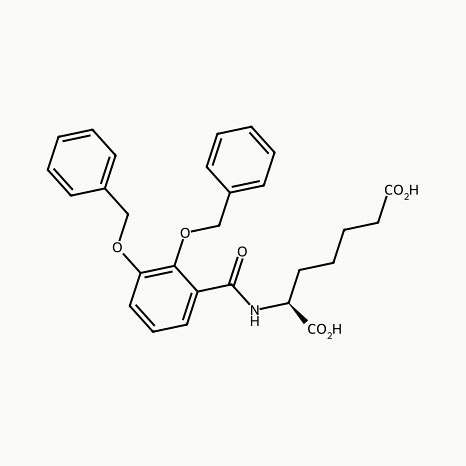 O=C(O)CCCC[C@H](NC(=O)c1cccc(OCc2ccccc2)c1OCc1ccccc1)C(=O)O